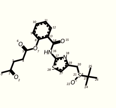 CC(=O)CCC(=O)Oc1ccccc1C(=O)Nc1nc(C[S+]([O-])C(C)(C)C)cs1